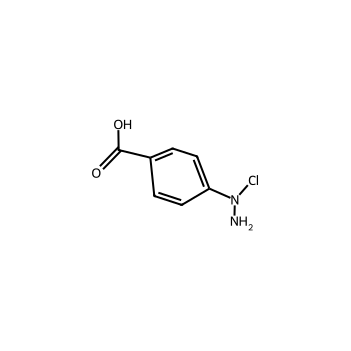 NN(Cl)c1ccc(C(=O)O)cc1